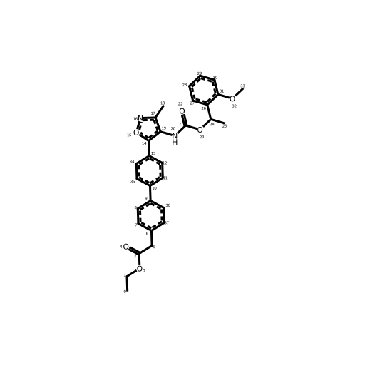 CCOC(=O)Cc1ccc(-c2ccc(-c3onc(C)c3NC(=O)OC(C)c3ccccc3OC)cc2)cc1